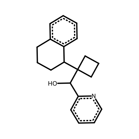 OC(c1ccccn1)C1(C2CCCc3ccccc32)CCC1